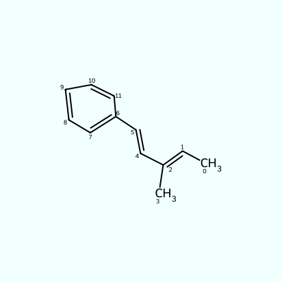 CC=C(C)C=Cc1ccccc1